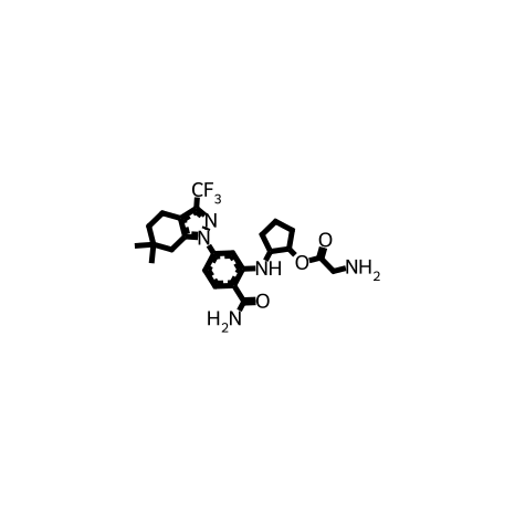 CC1(C)CCc2c(C(F)(F)F)nn(-c3ccc(C(N)=O)c(NC4CCCC4OC(=O)CN)c3)c2C1